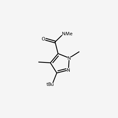 CNC(=O)c1c(C)c(C(C)(C)C)nn1C